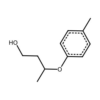 Cc1ccc(OC(C)CCO)cc1